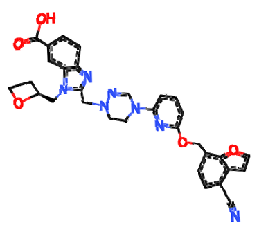 N#Cc1ccc(COc2cccc(N3C=NN(Cc4nc5ccc(C(=O)O)cc5n4C[C@@H]4CCO4)CC3)n2)c2occc12